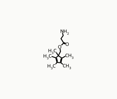 CC1=C(C)C(C)(COC(=O)CCN)C(C)=C1C